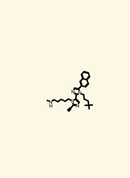 C#Cc1ncc(-c2ncc(-c3ccc4ccccc4c3)n2CCCC(C)(C)C)n1CCCCCNC